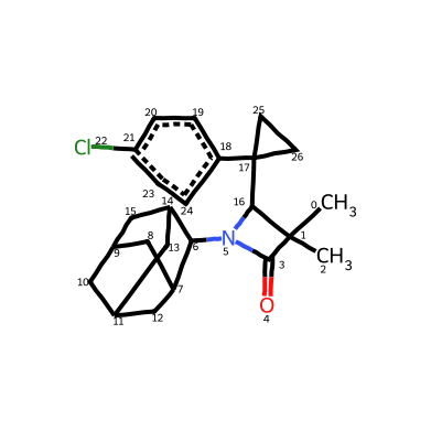 CC1(C)C(=O)N(C2C3CC4CC(C3)CC2C4)C1C1(c2ccc(Cl)cc2)CC1